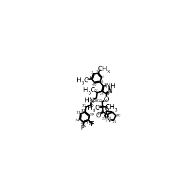 Cc1cc(C)cc(-c2[nH]nc(OCC(C)(C)C(=O)C3C4CCN3CC4)c2[C@H](C)CNCCc2ccc(F)c(F)c2)c1